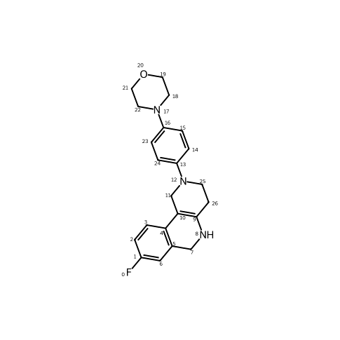 Fc1ccc2c(c1)CNC1=C2CN(c2ccc(N3CCOCC3)cc2)CC1